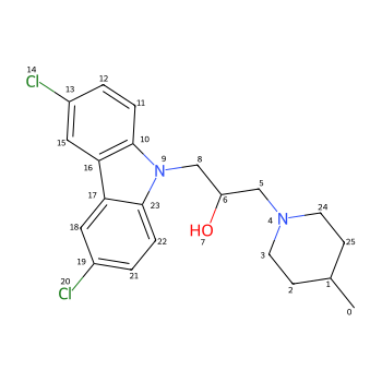 CC1CCN(CC(O)Cn2c3ccc(Cl)cc3c3cc(Cl)ccc32)CC1